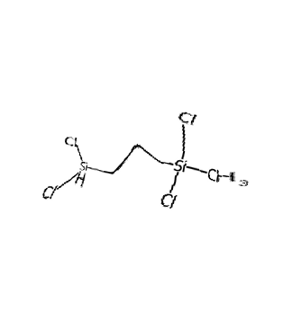 C[Si](Cl)(Cl)CC[SiH](Cl)Cl